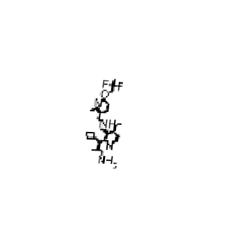 C/C=C1\C=CN(C)C(C(=C2CCC2)C(C)CN)\C1=C\NCc1ccc(OCC(C)(F)F)nc1C